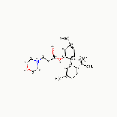 C=C(C)[C@@H]1CCC(C)=CC1c1c(OC)cc(CCCCC)cc1OC(=O)CCN1CCOCC1